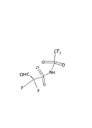 O=CC(F)(F)S(=O)(=O)NS(=O)(=O)C(F)(F)F